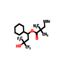 CNCC(C)(C)C(=O)OC(CC(O)(C(F)(F)F)C(F)(F)F)C1CCCCC1